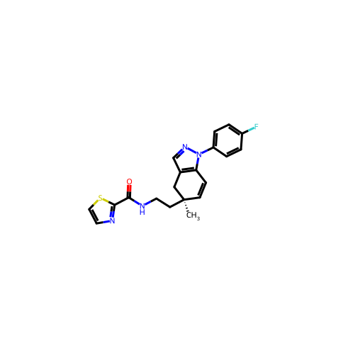 C[C@@]1(CCNC(=O)c2nccs2)C=Cc2c(cnn2-c2ccc(F)cc2)C1